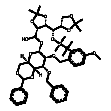 COc1ccc(CO[C@@H]2[C@H](OC(O)[C@H]3OC(C)(C)O[C@@H]3[C@@H](O[Si](C)(C)C(C)(C)C)[C@@H]3COC(C)(C)O3)O[C@@H]3COC(c4ccccc4)O[C@H]3[C@@H]2OCc2ccccc2)cc1